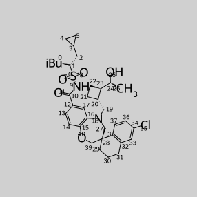 CC[C@H](C)[C@H](CC1CC1)S(=O)(=O)NC(=O)c1ccc2c(c1)N(C[C@@H]1CC[C@H]1[C@H](C)O)C[C@@]1(CCCc3cc(Cl)ccc31)CO2